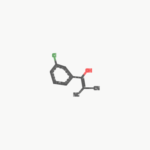 N#CC(C#N)=C(O)c1cccc(Cl)c1